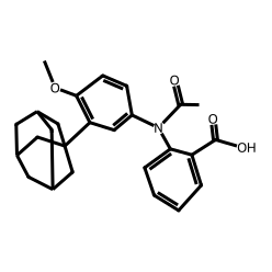 COc1ccc(N(C(C)=O)c2ccccc2C(=O)O)cc1C12CC3CC(CC(C3)C1)C2